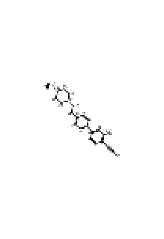 CC#Cc1ccc(-c2ccc(CC[C@H]3CC[C@H](CCC)CC3)cc2)cc1F